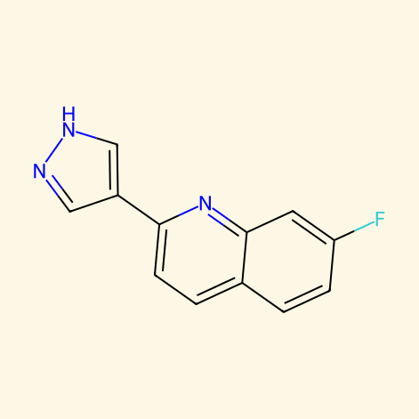 Fc1ccc2ccc(-c3cn[nH]c3)nc2c1